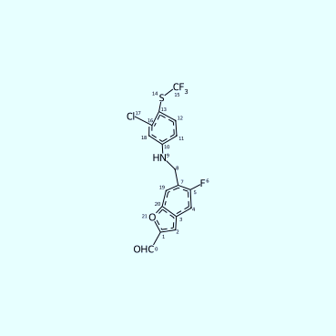 O=Cc1cc2cc(F)c(CNc3ccc(SC(F)(F)F)c(Cl)c3)cc2o1